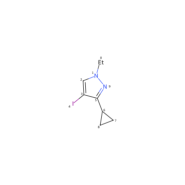 CCn1cc(I)c(C2CC2)n1